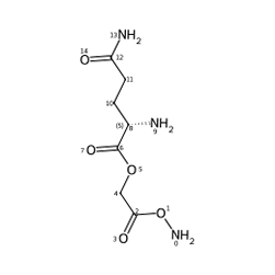 NOC(=O)COC(=O)[C@@H](N)CCC(N)=O